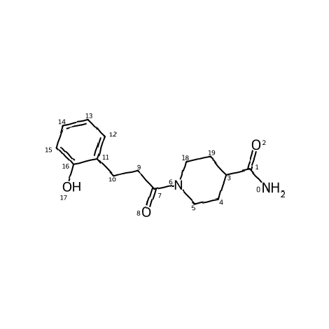 NC(=O)C1CCN(C(=O)CCc2ccccc2O)CC1